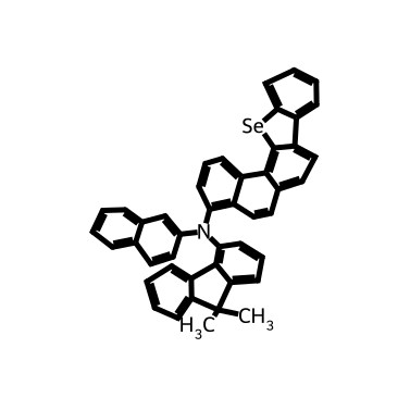 CC1(C)c2ccccc2-c2c(N(c3ccc4ccccc4c3)c3cccc4c3ccc3ccc5c6ccccc6[se]c5c34)cccc21